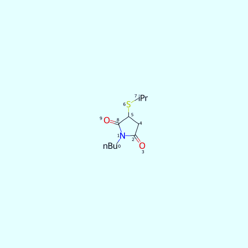 CCCCN1C(=O)CC(SC(C)C)C1=O